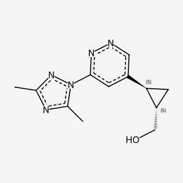 Cc1nc(C)n(-c2cc([C@H]3C[C@@H]3CO)cnn2)n1